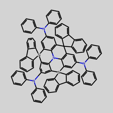 c1ccc(N(c2ccccc2)c2cc3c4c(c2)[Si]2(c5ccccc5-c5ccccc52)c2cc(N(c5ccccc5)c5ccccc5)cc5c2N4c2c(cc(N(c4ccccc4)c4ccccc4)cc2[Si]52c4ccccc4-c4ccccc42)C32c3ccccc3-c3ccccc32)cc1